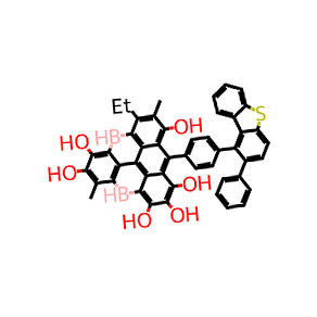 CCc1c(C)c(O)c2c(-c3ccc(-c4c(-c5ccccc5)ccc5sc6ccccc6c45)cc3)c3c(O)c(O)c(O)c4c3c3c2c1Bc1c(O)c(O)c(C)c(c1-3)B4